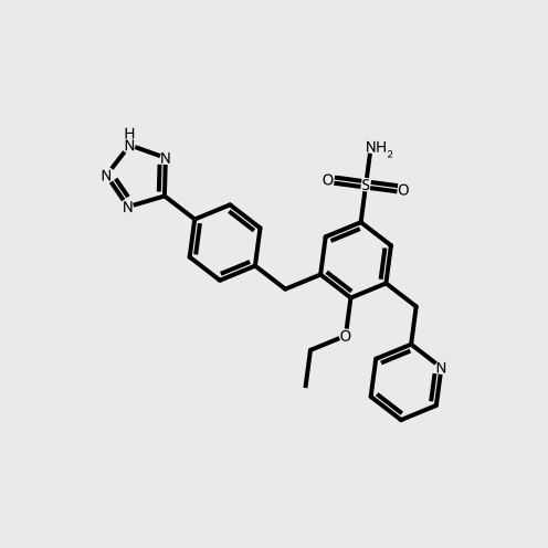 CCOc1c(Cc2ccc(-c3nn[nH]n3)cc2)cc(S(N)(=O)=O)cc1Cc1ccccn1